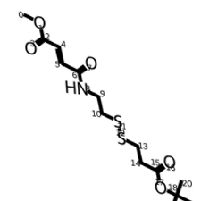 COC(=O)C=CC(=O)NCCSSCCC(=O)OC(C)(C)C